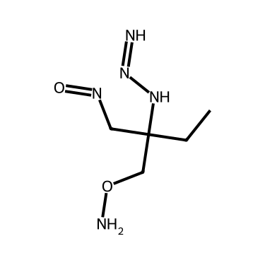 CCC(CN=O)(CON)NN=N